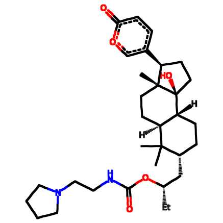 CC[C@@H](C[C@H]1CC[C@@H]2[C@H](CC[C@]3(C)[C@@H](c4ccc(=O)oc4)CC[C@]23O)C1(C)C)OC(=O)NCCN1CCCC1